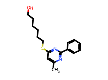 Cc1cc(SCCCCCCO)nc(-c2ccccc2)n1